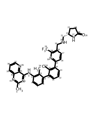 Cc1nc(Nc2cccc(-c3cccc(-c4ccc(CNC[C@@H]5CCC(=O)N5)c(C(F)(F)F)n4)c3Cl)c2C)c2ncccc2n1